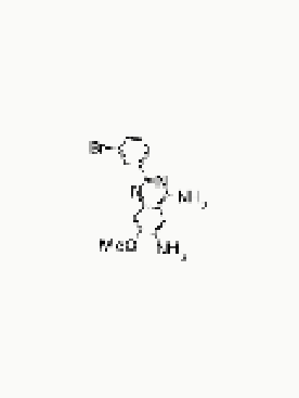 COc1cc2nc(-c3cccc(Br)c3)nc(N)c2cc1N